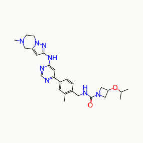 Cc1cc(-c2cc(Nc3cc4n(n3)CCN(C)C4)ncn2)ccc1CNC(=O)N1CC(OC(C)C)C1